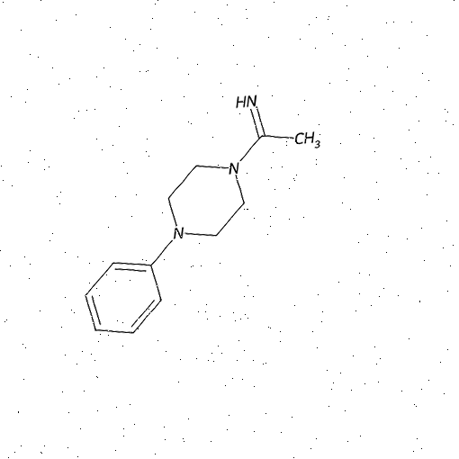 CC(=N)N1CCN(c2ccccc2)CC1